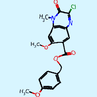 COc1ccc(COC(=O)c2cc3nc(Cl)c(=O)n(C)c3cc2OC)cc1